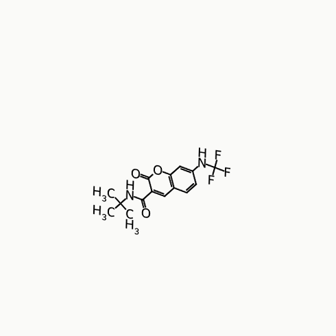 CC(C)(C)NC(=O)c1cc2ccc(NC(F)(F)F)cc2oc1=O